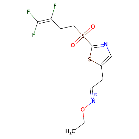 CCO/N=C/Cc1cnc(S(=O)(=O)CCC(F)=C(F)F)s1